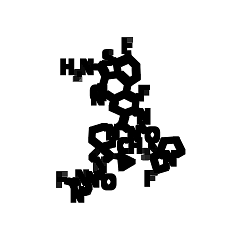 CC1([C@H]2N(C(=O)n3cnc(F)n3)C[C@]23CCCN(c2nc(OC[C@@]45CCCN4C[C@H](F)C5)nc4c(F)c(-c5ccc(F)c6sc(N)c(C#N)c56)c(Cl)cc24)C3)CC1